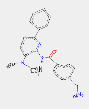 CC(C)(C)N(C(=O)O)c1ccc(-c2ccccc2)nc1NC(=O)c1ccc(CN)cc1